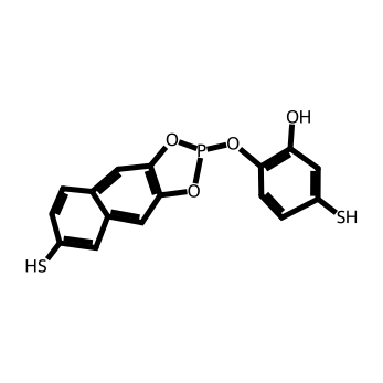 Oc1cc(S)ccc1OP1Oc2cc3ccc(S)cc3cc2O1